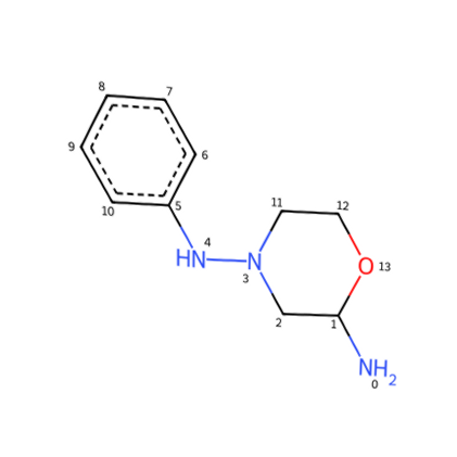 NC1CN(Nc2ccccc2)CCO1